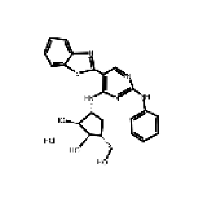 Cl.OC[C@H]1C[C@@H](Nc2nc(Nc3ccccc3)ncc2-c2nc3ccccc3s2)[C@H](O)[C@@H]1O